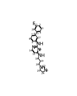 Fc1cccc(-c2cccc(Nc3nccc(NCCCN4C=NCC4)n3)c2)c1